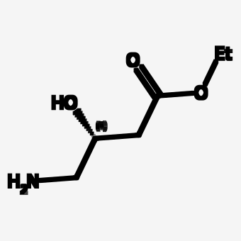 CCOC(=O)C[C@@H](O)CN